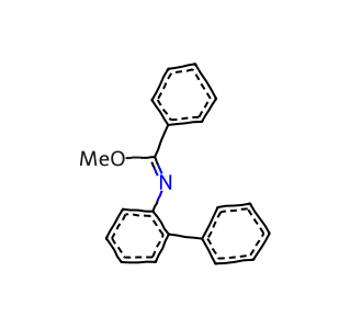 COC(=Nc1ccccc1-c1ccccc1)c1ccccc1